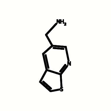 NCc1cnc2sccc2c1